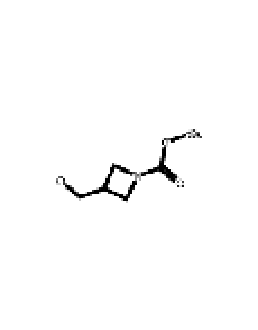 CC(C)(C)OC(=O)N1CC(C[O])C1